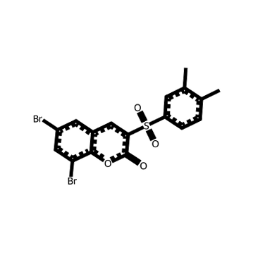 Cc1ccc(S(=O)(=O)c2cc3cc(Br)cc(Br)c3oc2=O)cc1C